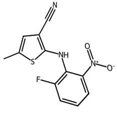 Cc1cc(C#N)c(Nc2c(F)cccc2[N+](=O)[O-])s1